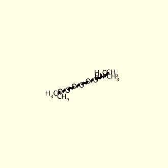 CC(C)OCCOCCOCCOCCOCCOCCNCC(C)(C)C